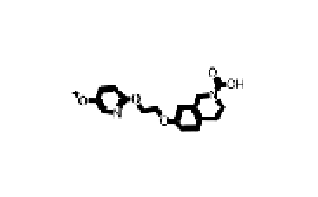 COc1ccc(OCCOc2ccc3c(c2)CN(C(=O)O)CC3)nc1